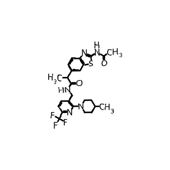 CC(=O)Nc1nc2ccc(C(C)C(=O)NCc3ccc(C(F)(F)F)nc3N3CCC(C)CC3)cc2s1